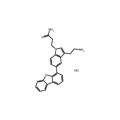 Cl.NCCc1cn(CCC(N)=O)c2ccc(-c3cccc4c3oc3ccccc34)cc12